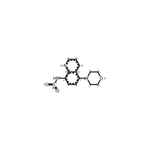 O=[SH](=O)Nc1ccc(N2CCOCC2)c2cccnc12